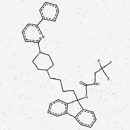 O=C(NCC(F)(F)F)OC1(CCCCN2CCN(c3cccc(-c4ccccc4)n3)CC2)c2ccccc2-c2ccccc21